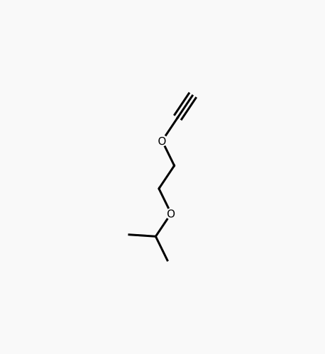 C#COCCOC(C)C